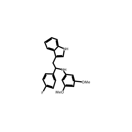 COc1cc(NC([CH]c2c[nH]c3ccccc23)c2ccc(F)cc2)cc(OC)c1